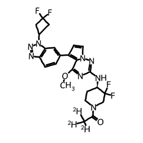 [2H]C([2H])([2H])C(=O)N1CC[C@@H](Nc2nc(OC)c3c(-c4ccc5nnn(C6CC(F)(F)C6)c5c4)ccn3n2)C(F)(F)C1